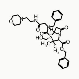 CC1(C)[C@H](C(=O)OCc2ccccc2)N2C(=O)C[C@H]2[S@@]1(CO)C(=O)N(CC(=O)NCCN1CCOCC1)Cc1ccccc1